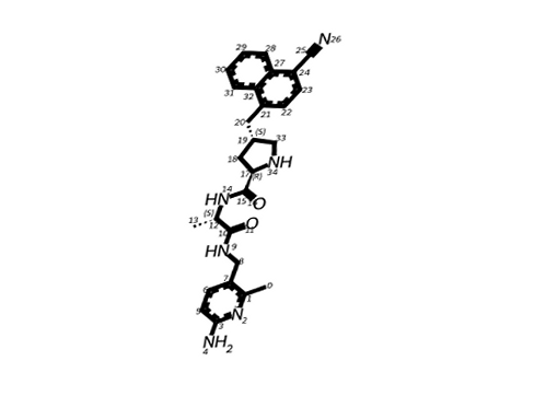 Cc1nc(N)ccc1CNC(=O)[C@H](C)NC(=O)[C@H]1C[C@H](Cc2ccc(C#N)c3ccccc23)CN1